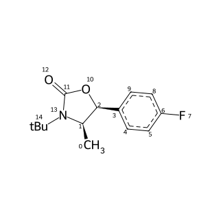 C[C@@H]1[C@H](c2ccc(F)cc2)OC(=O)N1C(C)(C)C